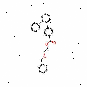 O=C(OCCOCc1ccccc1)c1ccc(-c2ccccc2-c2ccccc2)cc1